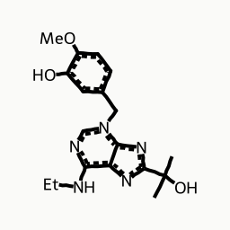 CCNc1ncn(Cc2ccc(OC)c(O)c2)c2nc(C(C)(C)O)nc1-2